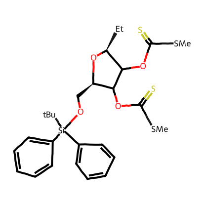 CC[C@@H]1O[C@H](CO[Si](c2ccccc2)(c2ccccc2)C(C)(C)C)C(OC(=S)SC)C1OC(=S)SC